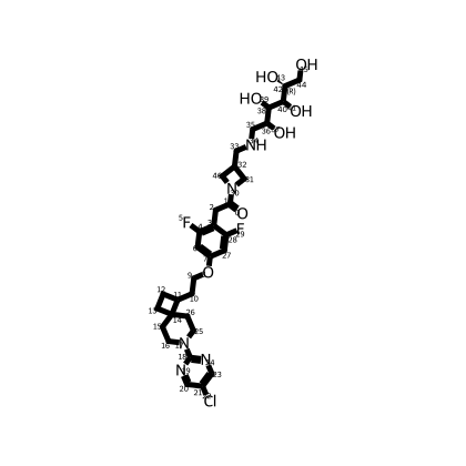 O=C(Cc1c(F)cc(OCCC2CCC23CCN(c2ncc(Cl)cn2)CC3)cc1F)N1CC(CNCC(O)C(O)C(O)[C@H](O)CO)C1